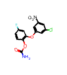 NC(=O)Oc1ccc(F)cc1Oc1cc(Cl)cc([N+](=O)[O-])c1